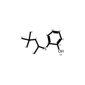 CC(CC(C)(C)C)Sc1ccccc1O